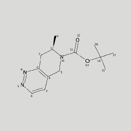 C[C@@H]1Cc2nnccc2CN1C(=O)OC(C)(C)C